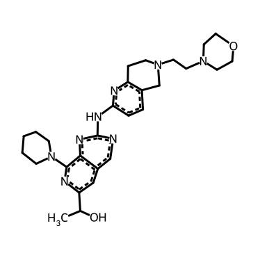 CC(O)c1cc2cnc(Nc3ccc4c(n3)CCN(CCN3CCOCC3)C4)nc2c(N2CCCCC2)n1